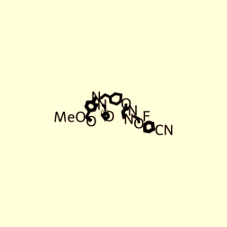 COC(=O)c1ccc2nc(CC3CCC(Oc4ccnc(COc5ccc(C#N)cc5F)n4)CC3)n(C[C@@H]3CCO3)c2c1